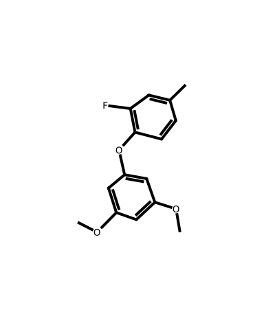 COc1cc(OC)cc(Oc2ccc(C)cc2F)c1